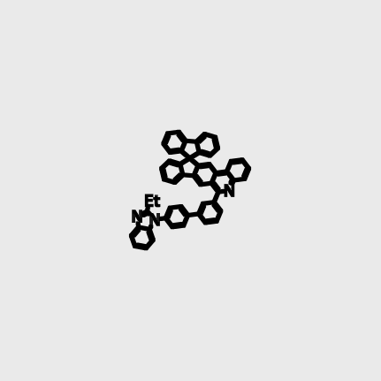 CCc1nc2ccccc2n1-c1ccc(-c2cccc(-c3nc4ccccc4c4cc5c(cc34)-c3ccccc3C53c4ccccc4-c4ccccc43)c2)cc1